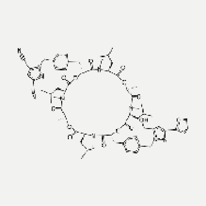 CC(C)C[C@H]1C(=O)O[C@H](Cc2ccc(Cn3nc(-c4ccco4)cc3CO)cc2)C(=O)N(C)[C@@H](CC(C)C)C(=O)O[C@H](C)C(=O)N(C)[C@@H](CC(C)C)C(=O)O[C@H](Cc2ccc(Cn3nc(C#N)cc3C#N)cc2)C(=O)N(C)[C@@H](CC(C)C)C(=O)O[C@H](C)C(=O)N1C